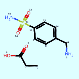 CCC(=O)O.NCc1ccc(S(N)(=O)=O)cc1